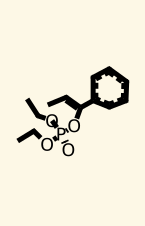 CC=C(OP(=O)(OCC)OCC)c1ccccc1